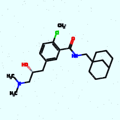 CN(C)C[C@H](O)Cc1ccc(Cl)c(C(=O)NCC23CCCC(CCC2)C3)c1.[CH2]